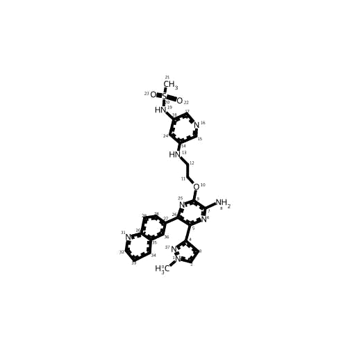 Cn1ccc(-c2nc(N)c(OCCNc3cncc(NS(C)(=O)=O)c3)nc2-c2ccc3ncccc3c2)n1